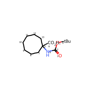 CC(C)(C)OC(=O)NC1(C(=O)O)CCCCCCC1